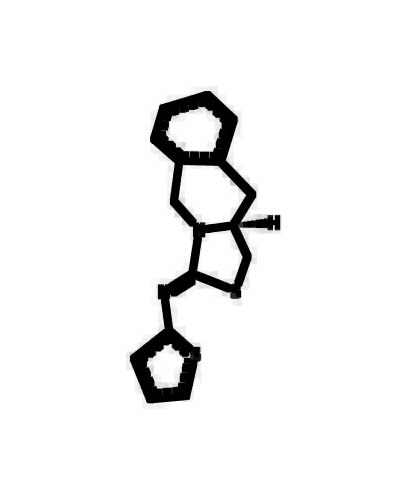 c1csc(/N=C2\SC[C@@H]3Cc4ccccc4CN23)c1